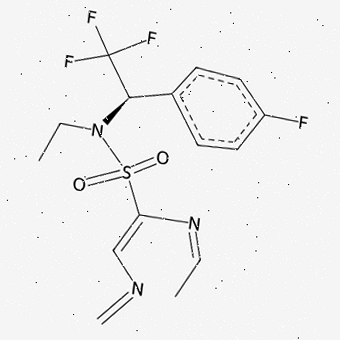 C=N/C=C(\N=C/C)S(=O)(=O)N(CC)[C@H](c1ccc(F)cc1)C(F)(F)F